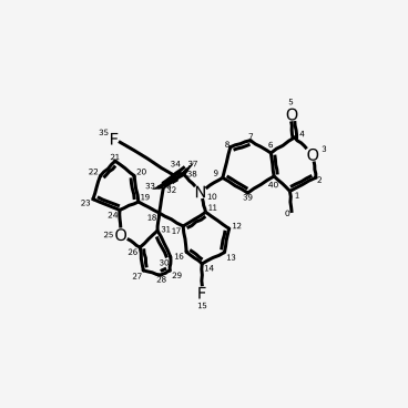 Cc1coc(=O)c2ccc(N3c4ccc(F)cc4C4(c5ccccc5Oc5ccccc54)c4cc(F)ccc43)cc12